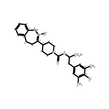 Cc1cc(CC(OC(=O)N2CCC(C3=[N+]([O-])Nc4ccccc4CC3)CC2)C(=O)O)cc(C)c1Cl